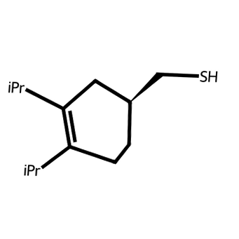 CC(C)C1=C(C(C)C)C[C@@H](CS)CC1